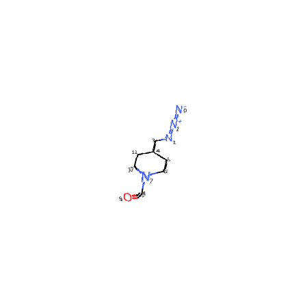 [N-]=[N+]=NCC1CCN(C=O)CC1